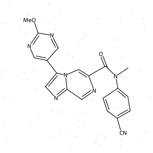 COc1ncc(-c2cnc3cnc(C(=O)N(C)c4ccc(C#N)cc4)cn23)cn1